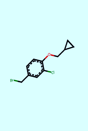 Clc1cc(CBr)ccc1OCC1CC1